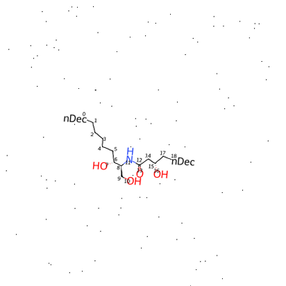 CCCCCCCCCCCCCCC[C@@H](O)[C@H](CO)NC(=O)C[C@@H](O)CCCCCCCCCCC